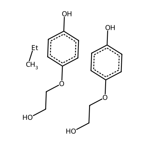 CCC.OCCOc1ccc(O)cc1.OCCOc1ccc(O)cc1